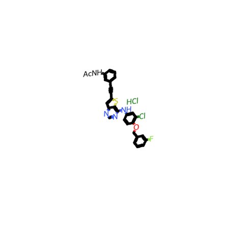 CC(=O)Nc1cccc(C#Cc2cc3ncnc(Nc4ccc(OCc5cccc(F)c5)c(Cl)c4)c3s2)c1.Cl